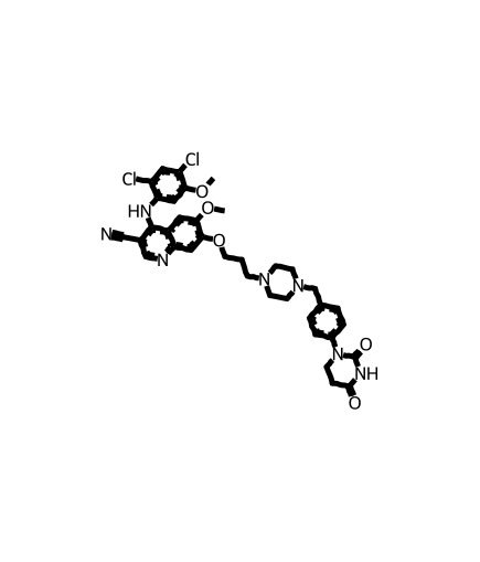 COc1cc(Nc2c(C#N)cnc3cc(OCCCN4CCN(Cc5ccc(N6CCC(=O)NC6=O)cc5)CC4)c(OC)cc23)c(Cl)cc1Cl